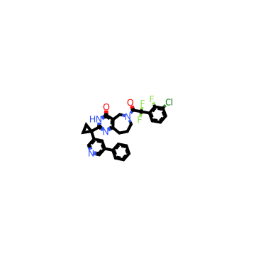 O=C(N1CCCc2nc(C3(c4cncc(-c5ccccc5)c4)CC3)[nH]c(=O)c2C1)C(F)(F)c1cccc(Cl)c1F